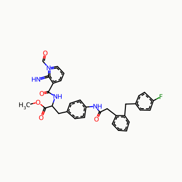 COC(=O)C(Cc1ccc(NC(=O)Cc2ccccc2Cc2ccc(F)cc2)cc1)NC(=O)c1cccn(C=O)c1=N